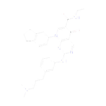 CCNC(=O)c1cn(-c2ccc3c(c2)CCC3)c2nc(Nc3cccc(CCCN(C)C)c3)ncc2c1=O